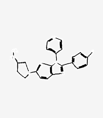 CNC1CCN(c2ccc3nc(-c4ccc(F)cc4)n(-c4ccncc4)c3n2)C1